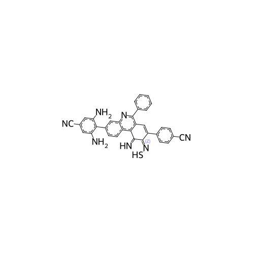 N#Cc1ccc(C2=Cc3c(-c4ccccc4)nc4cc(-c5c(N)cc(C#N)cc5N)ccc4c3C(=N)/C2=N\S)cc1